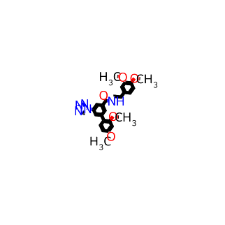 COc1ccc(-c2cc(C(=O)NCCc3ccc(OC)c(OC)c3)cc(-n3cnnn3)c2)c(OC)c1